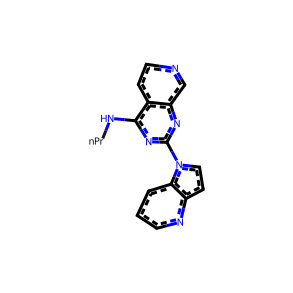 CCCNc1nc(-n2ccc3ncccc32)nc2cnccc12